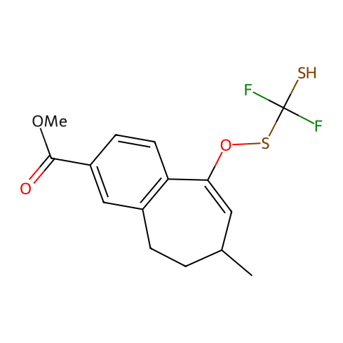 COC(=O)c1ccc2c(c1)CCC(C)C=C2OSC(F)(F)S